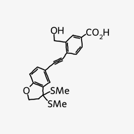 CSC1(SC)CCOc2ccc(C#Cc3ccc(C(=O)O)cc3CO)cc21